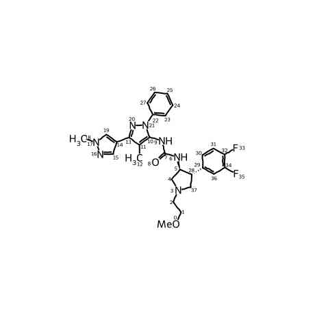 COCCN1C[C@@H](NC(=O)Nc2c(C)c(-c3cnn(C)c3)nn2-c2ccccc2)[C@H](c2ccc(F)c(F)c2)C1